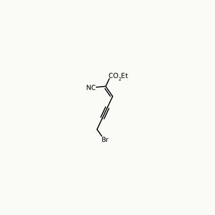 CCOC(=O)C(C#N)=CC#CCBr